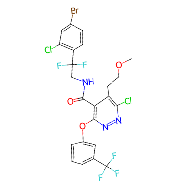 COCCc1c(Cl)nnc(Oc2cccc(C(F)(F)F)c2)c1C(=O)NCC(F)(F)c1ccc(Br)cc1Cl